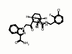 NC(=O)c1nn(CC(=O)N2[C@H]3CC[C@H]([C@H](O)C3)[C@@H]2C(=O)NCc2cccc(Cl)c2F)c2ccccc12